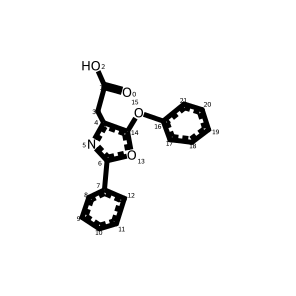 O=C(O)Cc1nc(-c2ccccc2)oc1Oc1ccccc1